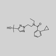 CCN(CCn1ncc(C(C)(C)O)n1)C(=O)c1ccccc1C1CC1